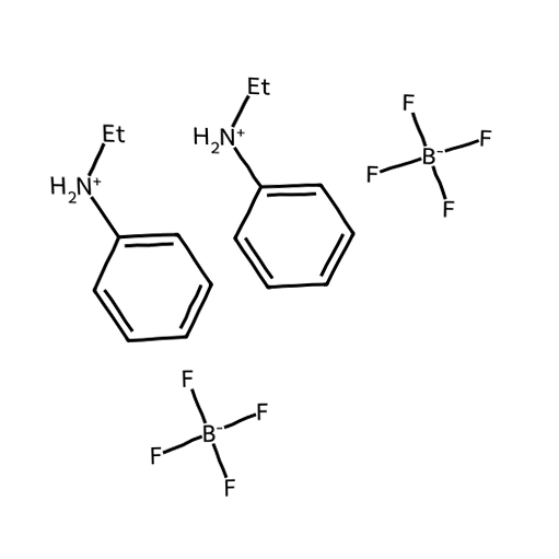 CC[NH2+]c1ccccc1.CC[NH2+]c1ccccc1.F[B-](F)(F)F.F[B-](F)(F)F